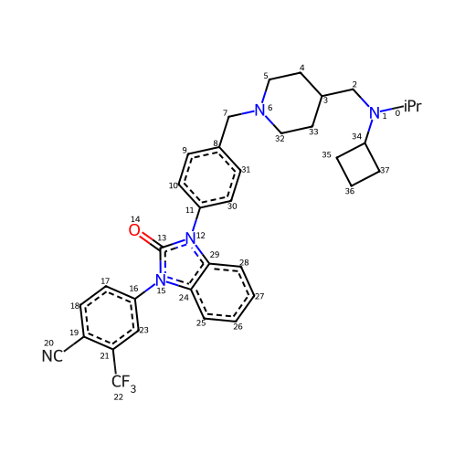 CC(C)N(CC1CCN(Cc2ccc(-n3c(=O)n(-c4ccc(C#N)c(C(F)(F)F)c4)c4ccccc43)cc2)CC1)C1CCC1